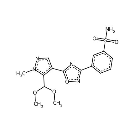 COC(OC)c1c(-c2nc(-c3cccc(S(N)(=O)=O)c3)no2)cnn1C